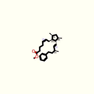 COC(=O)CCC/C=C\C[C@@H]1[C@@H](/C=C/[C@@H](C)CCc2ccccc2)[C@H](C)C[C@@H]1C